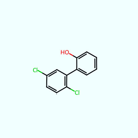 Oc1ccccc1-c1cc(Cl)c[c]c1Cl